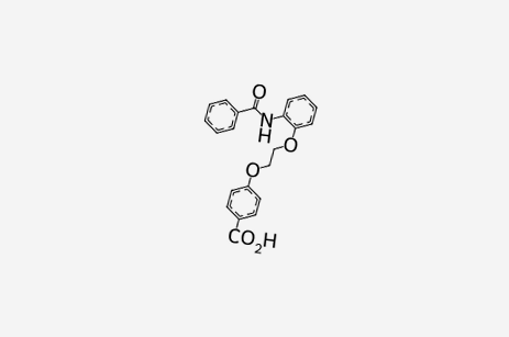 O=C(O)c1ccc(OCCOc2ccccc2NC(=O)c2ccccc2)cc1